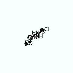 CC(C)(C)OC(=O)N1CCCC(c2cc(NCc3ccc(Cl)s3)[nH]n2)C1